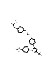 CNC(C)Cc1ccc(OCOc2ccc(-c3cc(C(F)(F)F)nn3-c3ccc(S(N)(=O)=O)cc3)cc2)cc1